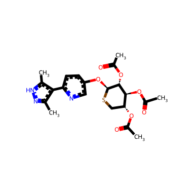 CC(=O)O[C@@H]1[C@@H](OC(C)=O)[C@H](OC(C)=O)CS[C@H]1Oc1ccc(-c2c(C)n[nH]c2C)nc1